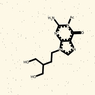 CC(=O)n1c(N)nc2c(ncn2CCC(CO)CO)c1=O